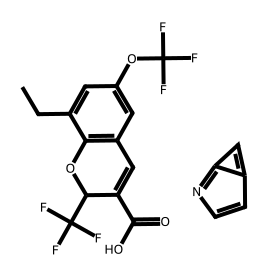 CCc1cc(OC(F)(F)F)cc2c1OC(C(F)(F)F)C(C(=O)O)=C2.c1cc2cc-2n1